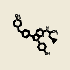 CC(CC1CC1)Nc1ncc2c(-c3ccc(CN4CCN(C)CC4)cc3)cn(C3CCC(O)CC3)c2n1